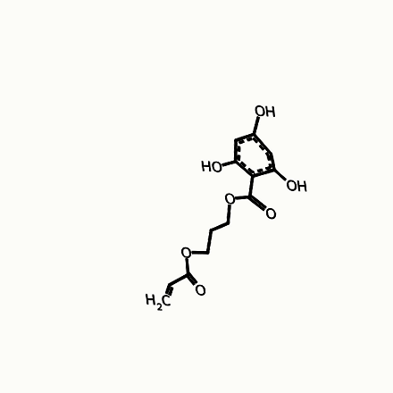 C=CC(=O)OCCCOC(=O)c1c(O)cc(O)cc1O